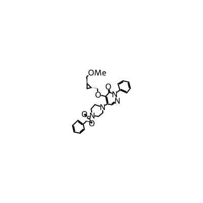 COC[C@@H]1C[C@H]1COc1c(N2CCN(S(=O)(=O)c3ccccc3)CC2)cnn(-c2ccccc2)c1=O